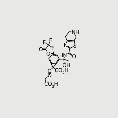 CC(O)(NC(=O)c1nc2c(s1)CNCC2)c1cccc2c1C2(OOCC(=O)O)C(=O)O.O=C(O)C(F)(F)F